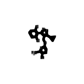 CCc1ccc(OCc2c(-c3c(Cl)cccc3Cl)noc2C2CC2)nc1C(F)(F)F